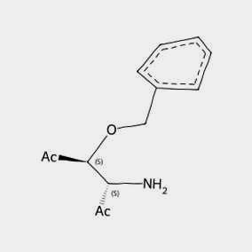 CC(=O)[C@@H](N)[C@H](OCc1ccccc1)C(C)=O